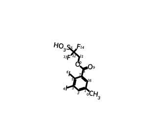 Cc1cc(I)c(I)c(C(=O)OCC(F)(F)S(=O)(=O)O)c1